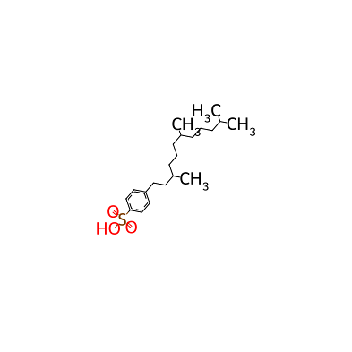 CC(C)CCCC(C)CCCC(C)CCc1ccc(S(=O)(=O)O)cc1